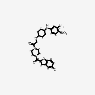 O=C(COC1CCC(Nc2ccc([N+](=O)[O-])c(C(F)(F)F)c2)CC1)N1CCN(C(=O)C2Cc3cc(Cl)ccc3O2)CC1